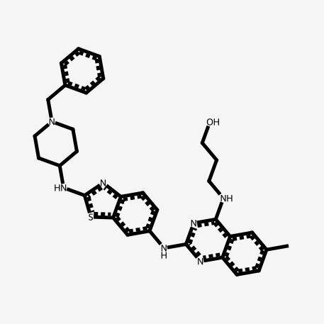 Cc1ccc2nc(Nc3ccc4nc(NC5CCN(Cc6ccccc6)CC5)sc4c3)nc(NCCCO)c2c1